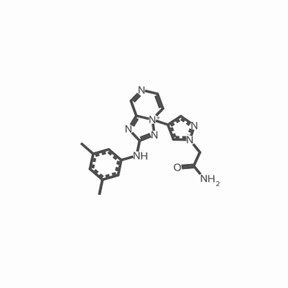 Cc1cc(C)cc(NC2=N[N+]3(c4cnn(CC(N)=O)c4)C=CN=CC3=N2)c1